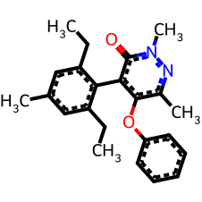 CCc1cc(C)cc(CC)c1-c1c(Oc2ccccc2)c(C)nn(C)c1=O